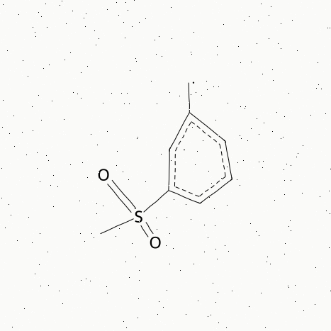 [CH2]c1cccc(S(C)(=O)=O)c1